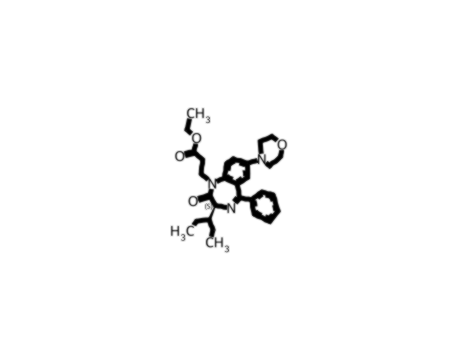 CCOC(=O)CCN1C(=O)[C@H](C(CC)CC)N=C(c2ccccc2)c2cc(N3CCOCC3)ccc21